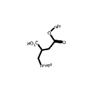 CCCCCCCCC(CC(=O)OCCC)C(=O)O